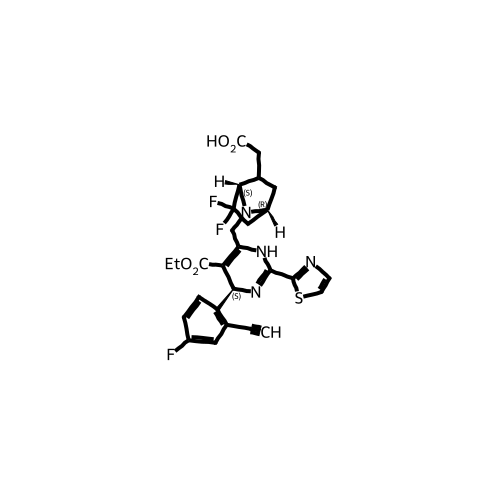 C#Cc1cc(F)ccc1[C@@H]1N=C(c2nccs2)NC(CN2[C@@H]3CC(CC(=O)O)[C@H]2C(F)(F)C3)=C1C(=O)OCC